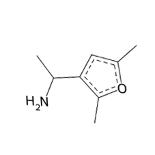 Cc1cc(C(C)N)c(C)o1